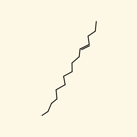 [CH2]CCCCCCCCC/C=C/CCC